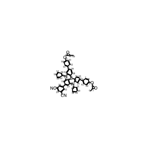 CC1OC1Oc1ccc(-c2ccc3c(c2)N(c2ccccc2)c2cc(-c4cc(C#N)cc(C#N)c4)cc4c2B3c2ccc(-c3ccc(OC5OC5C)cc3)cc2N4c2ccccc2)cc1